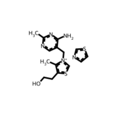 Cc1ncc(C[n+]2csc(CCO)c2C)c(N)n1.c1cscn1